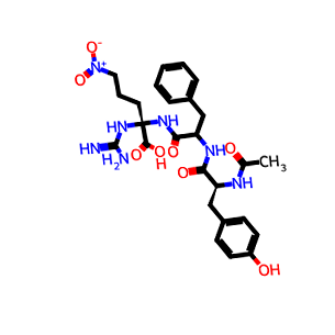 CC(=O)N[C@@H](Cc1ccc(O)cc1)C(=O)NC(Cc1ccccc1)C(=O)N[C@@](CCC[N+](=O)[O-])(NC(=N)N)C(=O)O